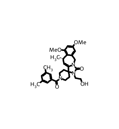 COc1cc2c(c(OC)c1)[C@@H](C)C=C1N(C2)C(=O)N(CCO)C12CCN(C(=O)c1cc(C)cc(C)c1)CC2